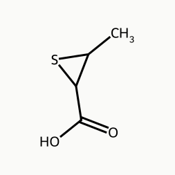 CC1SC1C(=O)O